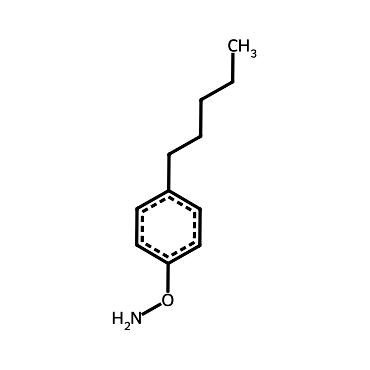 CCCCCc1ccc(ON)cc1